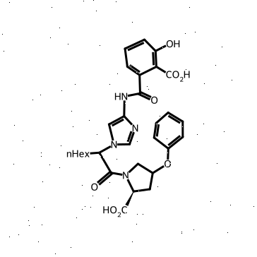 CCCCCCC(C(=O)N1CC(Oc2ccccc2)C[C@H]1C(=O)O)n1cnc(NC(=O)c2cccc(O)c2C(=O)O)c1